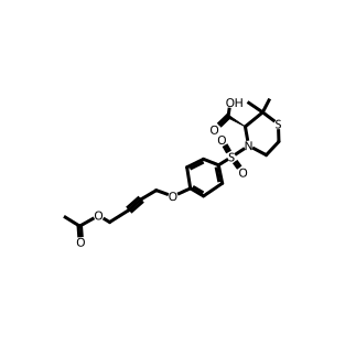 CC(=O)OCC#CCOc1ccc(S(=O)(=O)N2CCSC(C)(C)[C@@H]2C(=O)O)cc1